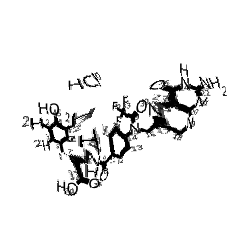 Cl.[2H]c1c([2H])c(C[C@H](NC(=O)c2ccc(N(Cc3cnc4nc(N)[nH]c(=O)c4n3)C(=O)C(F)(F)F)cc2)C(=O)O)c([2H])c([2H])c1O